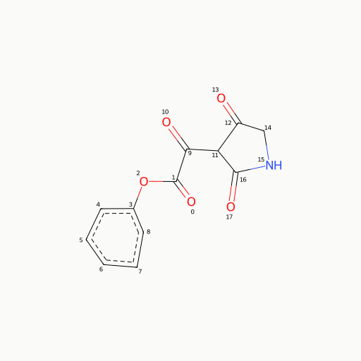 O=C(Oc1ccccc1)C(=O)C1C(=O)CNC1=O